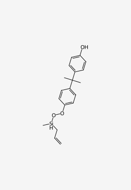 C=CC[SiH](C)OOc1ccc(C(C)(C)c2ccc(O)cc2)cc1